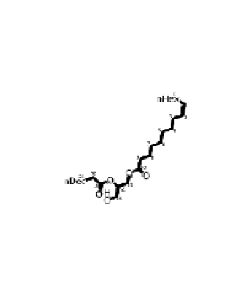 CCCCCC/C=C\CCCCCCCC(=O)OCC(CO)OC(=O)CCCCCCCCCCC